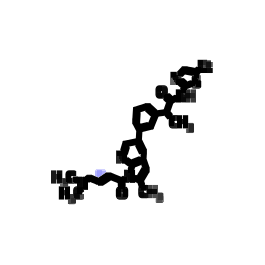 CCc1cnc(NC(=O)C(C)c2cccc(-c3cnc4c(c3)cc(C)n4C(=O)/C=C/CN(C)C)c2)s1